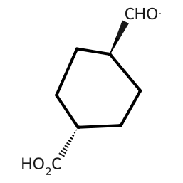 O=[C][C@H]1CC[C@H](C(=O)O)CC1